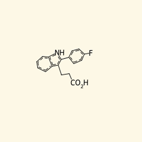 O=C(O)CCc1c(-c2ccc(F)cc2)[nH]c2ccccc12